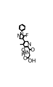 Cc1c(-c2cnn(-c3ccccc3)c2F)cnc(C(=O)NCC(=O)O)c1O